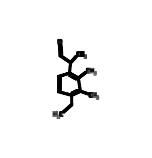 CCc1ccc(C(C)C=O)c(C)c1C